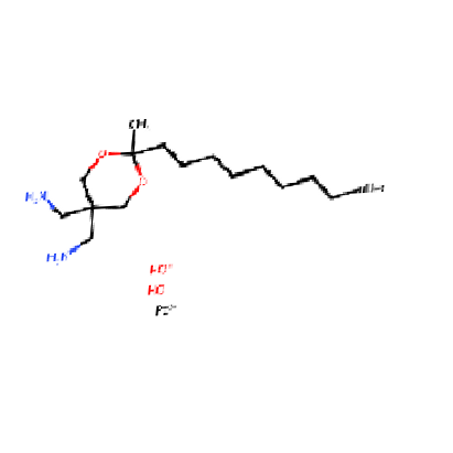 CCCCCCCCCCCCCCCCCCC1(C)OCC(CN)(CN)CO1.[OH-].[OH-].[Pt+2]